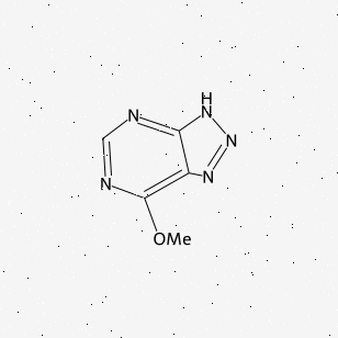 COc1ncnc2[nH]nnc12